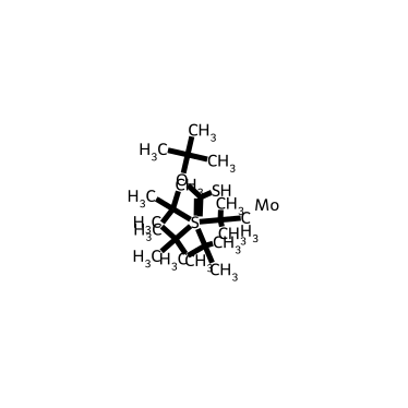 CC(C)(C)OC(S)=S(C(C)(C)C)(C(C)(C)C)(C(C)(C)C)C(C)(C)C.[Mo]